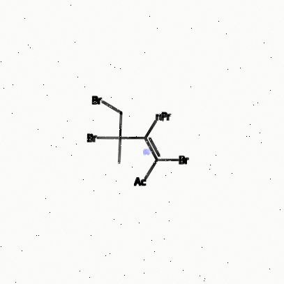 CCC/C(=C(\Br)C(C)=O)C(C)(Br)CBr